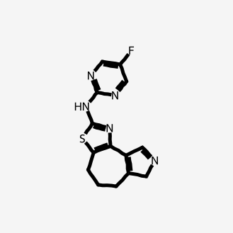 Fc1cnc(Nc2nc3c(s2)CCCC2=C3C=NC2)nc1